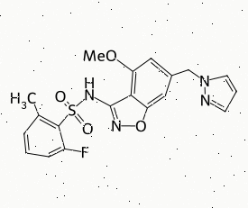 COc1cc(Cn2cccn2)cc2onc(NS(=O)(=O)c3c(C)cccc3F)c12